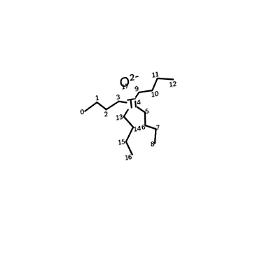 CCC[CH2][Ti]([CH2]CCC)([CH2]CCC)[CH2]CCC.[O-2]